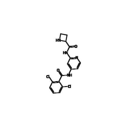 O=C(Nc1ccnc(NC(=O)C2CCN2)c1)c1c(Cl)cccc1Cl